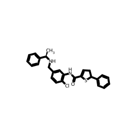 C[C@@H](NCc1ccc(Cl)c(NC(=O)C2=CCC(c3ccccc3)S2)c1)c1ccccc1